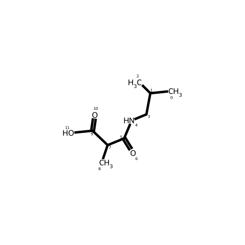 CC(C)CNC(=O)C(C)C(=O)O